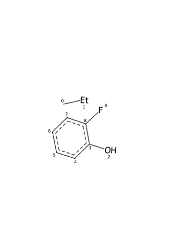 CCC.Oc1ccccc1F